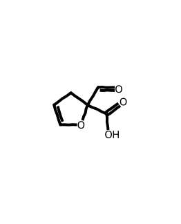 O=CC1(C(=O)O)CC=CO1